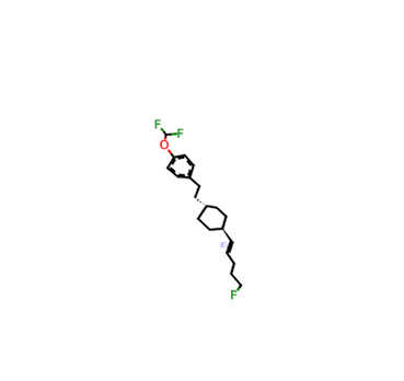 FCCC/C=C/[C@H]1CC[C@H](CCc2ccc(OC(F)F)cc2)CC1